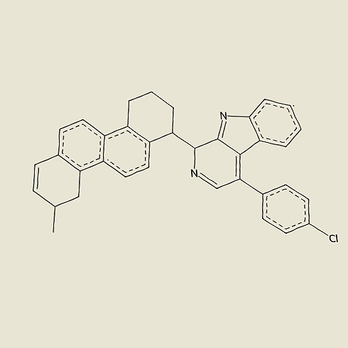 CC1C=Cc2ccc3c4c(ccc3c2C1)C(C1N=CC(c2ccc(Cl)cc2)=C2C1=Nc1c[c]ccc12)CCC4